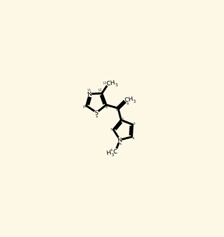 C=C(c1ccn(C)c1)c1scnc1C